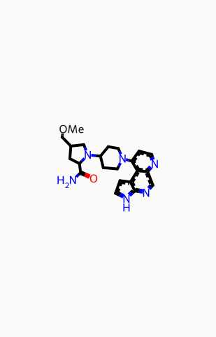 COCC1CC(C(N)=O)N(C2CCN(c3ccnc4cnc5[nH]ccc5c34)CC2)C1